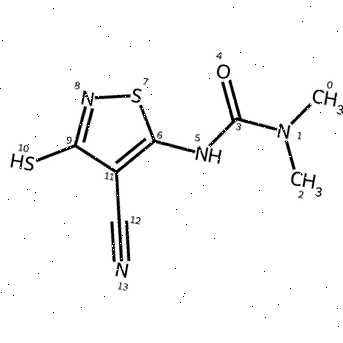 CN(C)C(=O)Nc1snc(S)c1C#N